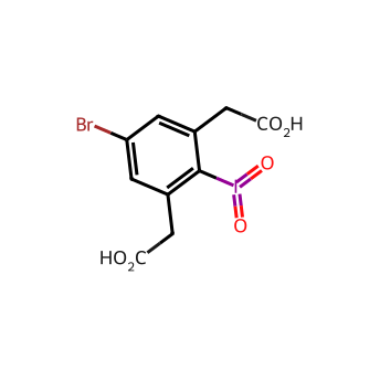 O=C(O)Cc1cc(Br)cc(CC(=O)O)c1I(=O)=O